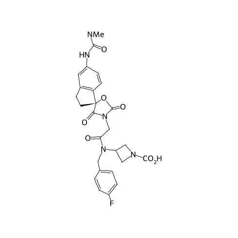 CNC(=O)Nc1ccc2c(c1)CC[C@]21OC(=O)N(CC(=O)N(Cc2ccc(F)cc2)C2CN(C(=O)O)C2)C1=O